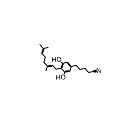 CC(C)=CCC/C(C)=C/Cc1c(O)cc(CCCCC#N)cc1O